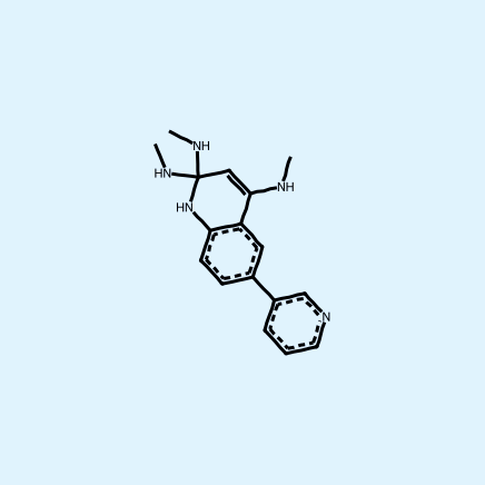 CNC1=CC(NC)(NC)Nc2ccc(-c3cccnc3)cc21